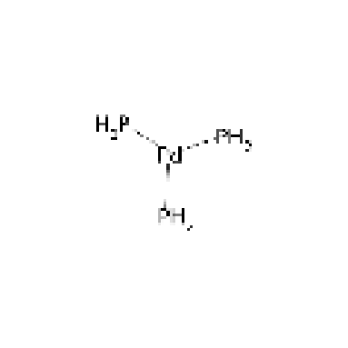 [PH2][Pd]([PH2])[PH2]